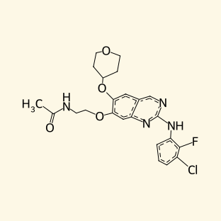 CC(=O)NCCOc1cc2nc(Nc3cccc(Cl)c3F)ncc2cc1OC1CCOCC1